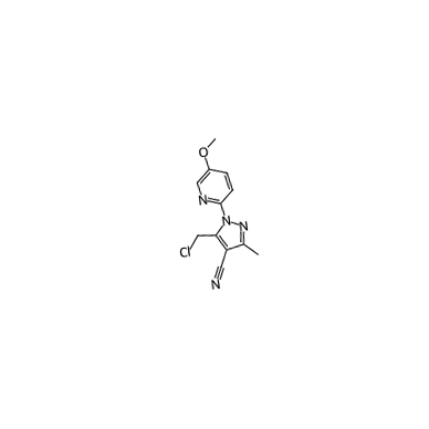 COc1ccc(-n2nc(C)c(C#N)c2CCl)nc1